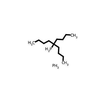 CCCCC(P)(CCCC)CCCC.P